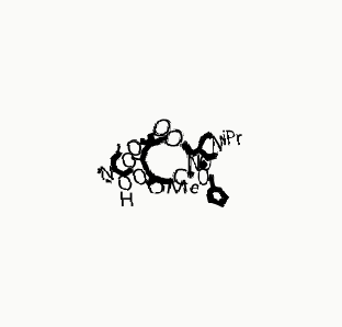 CO[C@]1(C)CCCN(C(=O)OCc2ccccc2)C(C2CCN(C(C)C)CC2)COC(=O)C(C)(C)C(=O)[C@H](C)[C@H]1O[C@@H]1O[C@H](C)C[C@H](N(C)C)[C@H]1O